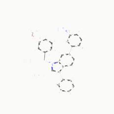 CCOC(=O)c1c(-c2ccccc2)c2ccc(-c3cccc(N)c3)cc2n1Cc1cccc(OC(F)(F)F)c1.Cl